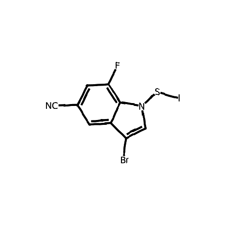 N#Cc1cc(F)c2c(c1)c(Br)cn2SI